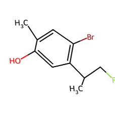 Cc1cc(Br)c(C(C)CF)cc1O